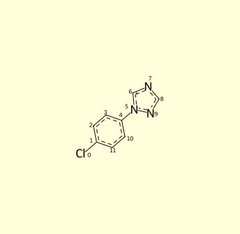 Clc1ccc(-n2[c]ncn2)cc1